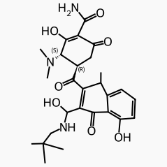 CC1C(C(=O)[C@@H]2CC(=O)C(C(N)=O)=C(O)[C@H]2N(C)C)=C(C(O)NCC(C)(C)C)C(=O)c2c(O)cccc21